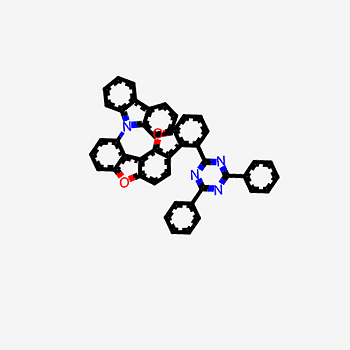 c1ccc(-c2nc(-c3ccccc3)nc(-c3cccc4oc5c(ccc6oc7cccc(-n8c9ccccc9c9ccccc98)c7c65)c34)n2)cc1